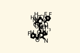 Cc1n[nH]c2c1C(C(=O)N(C)CC[C@@]1(C)CN(C(=O)c3ccc(F)cc3)C=C(C#N)c3cn[nH]c31)=CN(C(=O)c1ccc(F)c(F)c1)CC2(C)C